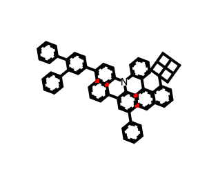 c1ccc(-c2ccc(N(c3ccc(-c4ccc(-c5ccccc5)c(-c5ccccc5)c4)cc3)c3ccccc3-c3cccc4cccc(C56CC7CC8CC(C5)C876)c34)c(-c3ccccc3)c2)cc1